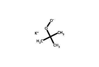 CC(C)(C)O[O-].[K+]